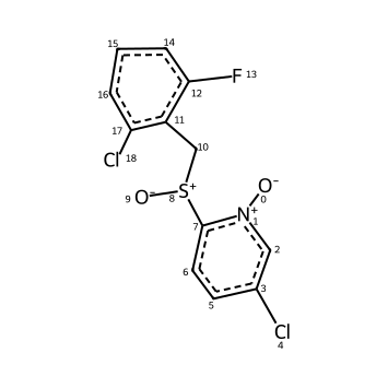 [O-][n+]1cc(Cl)ccc1[S+]([O-])Cc1c(F)cccc1Cl